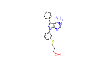 Nc1ncnc2c1c(-c1ccccc1)cn2-c1cccc(SCCCO)c1